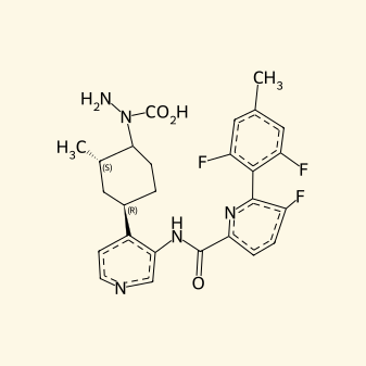 Cc1cc(F)c(-c2nc(C(=O)Nc3cnccc3[C@@H]3CCC(N(N)C(=O)O)[C@@H](C)C3)ccc2F)c(F)c1